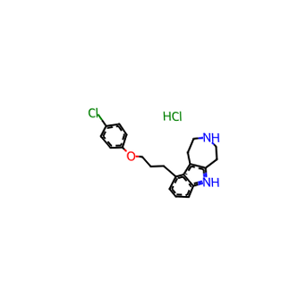 Cl.Clc1ccc(OCCCc2cccc3[nH]c4c(c23)CCNCC4)cc1